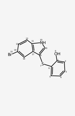 Oc1ccccc1Sc1c[nH]c2ccc(Br)cc12